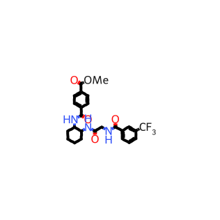 COC(=O)c1ccc(C(=O)NC2CCCCC2NC(=O)CNC(=O)c2cccc(C(F)(F)F)c2)cc1